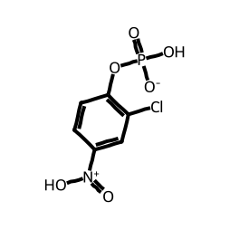 O=[N+](O)c1ccc(OP(=O)([O-])O)c(Cl)c1